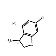 Cl.N[C@@H]1COc2cc(Cl)ccc21